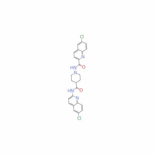 O=C(NN1CCC(C(=O)Nc2ccc3cc(Cl)ccc3n2)CC1)c1ccc2cc(Cl)ccc2n1